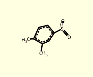 Cc1ccc([SH](=O)=O)cc1C